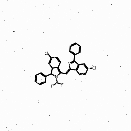 FB(F)N1C(/C=C2\N=C(c3ccccc3)c3cc(Cl)ccc32)=C2C=CC(Cl)=CC2C1c1ccccc1